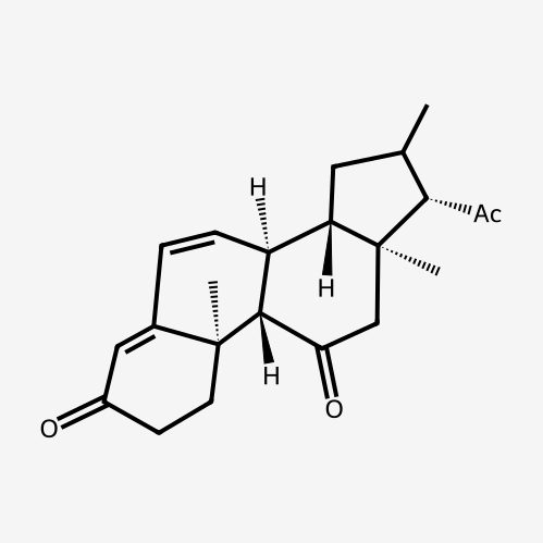 CC(=O)[C@H]1C(C)C[C@H]2[C@@H]3C=CC4=CC(=O)CC[C@]4(C)[C@H]3C(=O)C[C@]12C